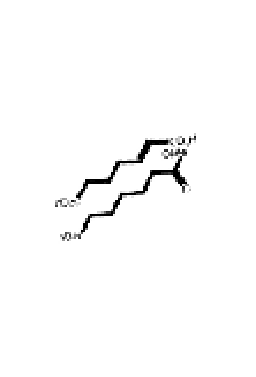 CCCCCCCCCCCCCC=CC(=O)O.CCCCCCCCCCCCCCCC(=O)OC